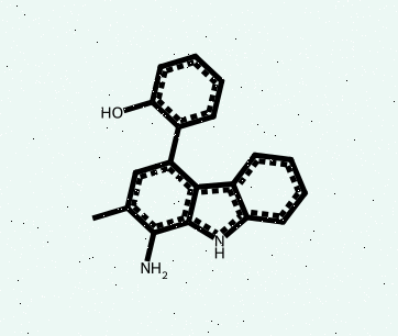 Cc1cc(-c2ccccc2O)c2c([nH]c3ccccc32)c1N